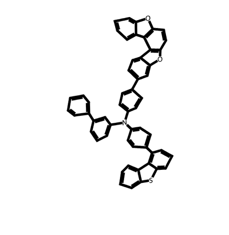 c1ccc(-c2cccc(N(c3ccc(-c4ccc5c(c4)oc4ccc6oc7ccccc7c6c45)cc3)c3ccc(-c4cccc5sc6ccccc6c45)cc3)c2)cc1